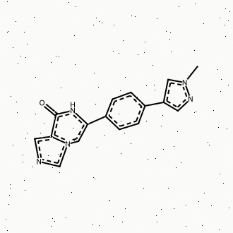 Cn1cc(-c2ccc(-c3cn4cncc4c(=O)[nH]3)cc2)cn1